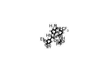 CCOc1cc(C(Nc2ccc(C(=N)N)cc2)C(=O)NNc2ccc(C(F)(F)F)cn2)ccc1OC(C)C.O=C(O)C(F)(F)F